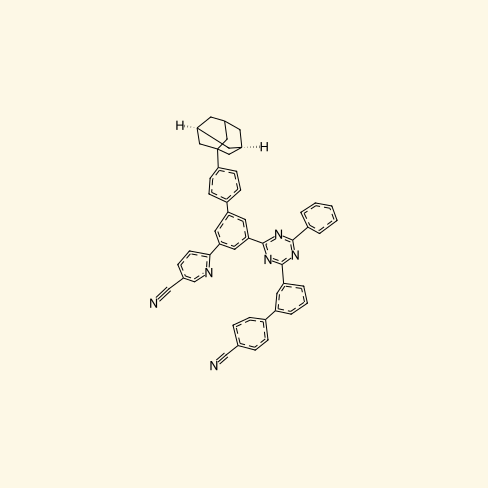 N#Cc1ccc(-c2cccc(-c3nc(-c4ccccc4)nc(-c4cc(-c5ccc(C67CC8C[C@H](C6)C[C@@H](C8)C7)cc5)cc(-c5ccc(C#N)cn5)c4)n3)c2)cc1